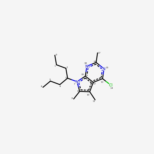 CCCC(CCC)n1c(C)c(C)c2c(Cl)nc(C)nc21